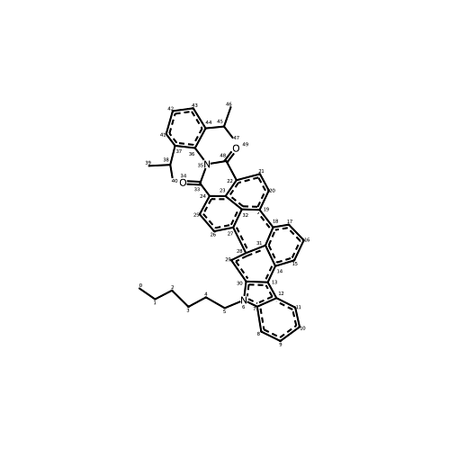 CCCCCCn1c2ccccc2c2c3cccc4c5ccc6c7c(ccc(c(cc21)c43)c75)C(=O)N(c1c(C(C)C)cccc1C(C)C)C6=O